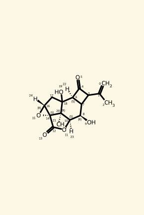 C=C(C)C1C(=O)[C@H]2C1[C@@H](O)[C@H]1OC(=O)[C@@]34O[C@@H]3CC2(O)[C@@]14C